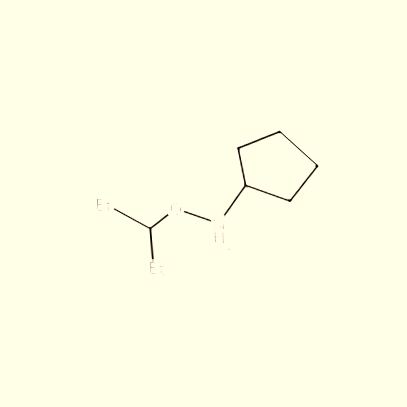 CCC(CC)O[SiH2]C1CCCC1